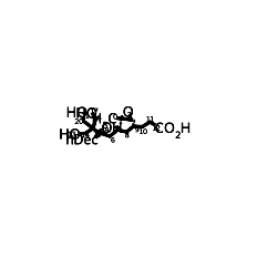 CC1CO1.CCCCCCCCCCCCCCCCCC(=O)O.OCC(CO)(CO)CO